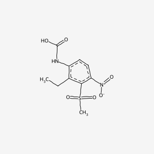 CCc1c(NC(=O)O)ccc([N+](=O)[O-])c1S(C)(=O)=O